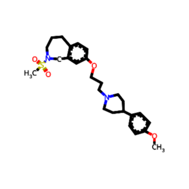 COc1ccc(C2CCN(CCCOc3ccc4c(c3)CN(S(C)(=O)=O)CCC4)CC2)cc1